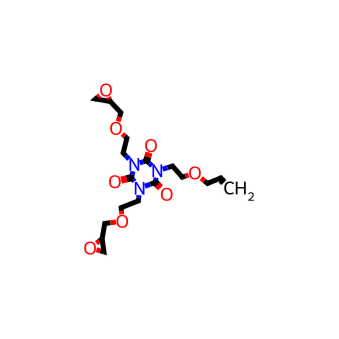 C=CCOCCn1c(=O)n(CCOCC2CO2)c(=O)n(CCOCC2CO2)c1=O